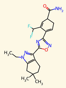 CCn1nc(-c2nc(C3=CCC(C(N)=O)C=C3C(F)F)no2)c2c1CC(C)(C)CC2